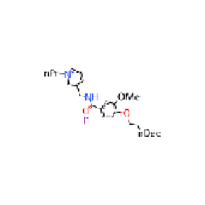 CCCCCCCCCCCCOc1ccc(C(=O)NCc2ccc[n+](CCC)c2)cc1OC.[I-]